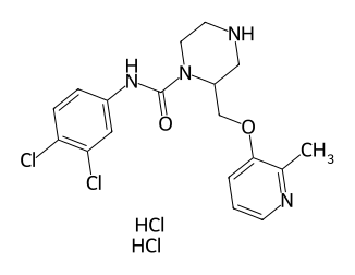 Cc1ncccc1OCC1CNCCN1C(=O)Nc1ccc(Cl)c(Cl)c1.Cl.Cl